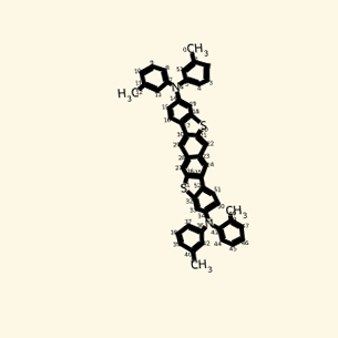 Cc1cccc(N(c2cccc(C)c2)c2ccc3c(c2)sc2cc4cc5c(cc4cc23)sc2cc(N(c3cccc(C)c3)c3ccccc3C)ccc25)c1